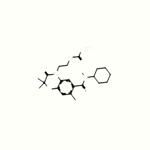 COC(=O)NCCN1C(=O)C(C)(C)Sc2cc(C)c(C(=O)N(C(C)C)C3CCCCC3)cc21